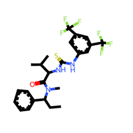 CCC(c1ccccc1)N(C)C(=O)C(NC(=S)Nc1cc(C(F)(F)F)cc(C(F)(F)F)c1)C(C)C